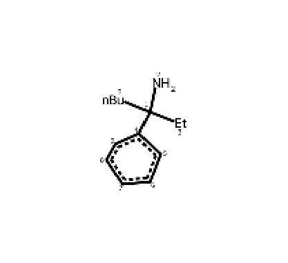 CCCCC(N)(CC)c1[c]cccc1